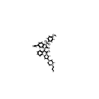 CCCN1CCN(C2CCN(C(=O)C(c3ccccc3)n3c(=O)n(S(=O)(=O)c4ccc(OC)cc4)c4ccc(C#N)cc43)C2)CC1